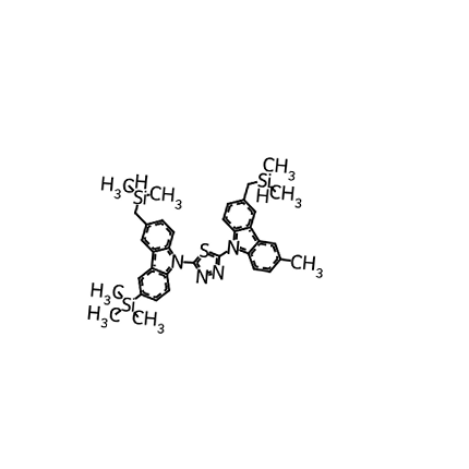 Cc1ccc2c(c1)c1cc(C[SiH](C)C)ccc1n2-c1nnc(-n2c3ccc(C[SiH](C)C)cc3c3cc([Si](C)(C)C)ccc32)s1